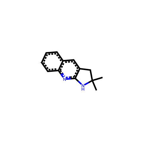 CC1(C)Cc2cc3cc[c]cc3nc2N1